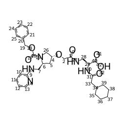 O=C(CO[C@@H]1C[C@@H](CNc2ccccn2)N(C(=O)OCc2ccccc2)C1)NC[C@H](NC(=O)CC1CCCCC1)C(=O)O